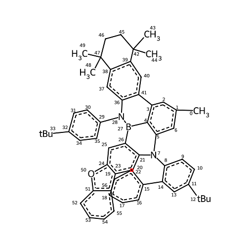 Cc1cc2c3c(c1)N(c1ccc(C(C)(C)C)cc1-c1ccccc1)c1cc4c(cc1B3N(c1ccc(C(C)(C)C)cc1)c1cc3c(cc1-2)C(C)(C)CCC3(C)C)oc1ccccc14